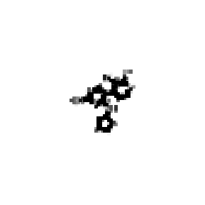 Nc1ncc(-c2ccnc(F)c2Br)c(NC2CCCC2)n1